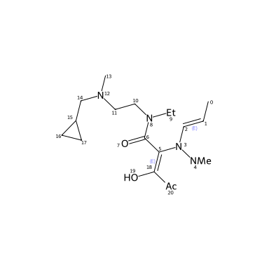 C/C=C/N(NC)/C(C(=O)N(CC)CCN(C)CC1CC1)=C(/O)C(C)=O